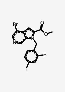 COC(=O)c1cc2c(Br)cncc2n1Cc1ccc(I)cc1F